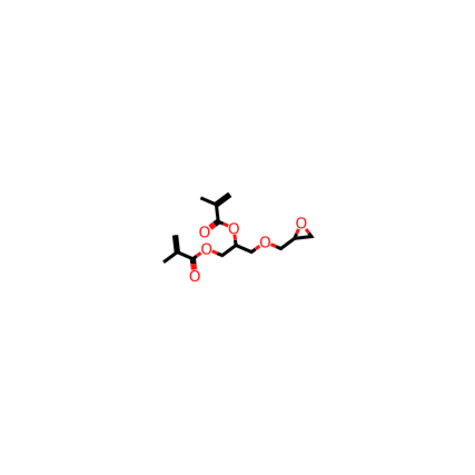 C=C(C)C(=O)OCC(COCC1CO1)OC(=O)C(=C)C